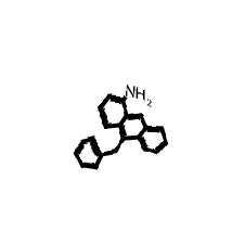 Nc1cccc2c(Cc3ccccc3)c3ccccc3cc12